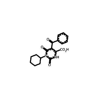 O=C(O)c1[nH]c(=O)n(C2CCCCC2)c(=O)c1C(=O)c1ccccc1